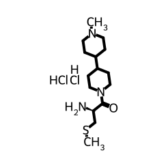 CSC[C@@H](N)C(=O)N1CCC(C2CCN(C)CC2)CC1.Cl.Cl